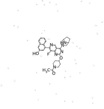 CC(=O)N1CCC(Oc2nc(N3CC4CCC(C3)N4)c3cnc(-c4cc(O)cc5ccccc45)c(F)c3n2)CC1